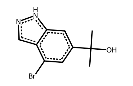 CC(C)(O)c1cc(Br)c2cn[nH]c2c1